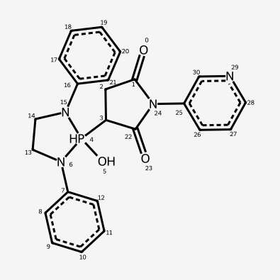 O=C1CC([PH]2(O)N(c3ccccc3)CCN2c2ccccc2)C(=O)N1c1cccnc1